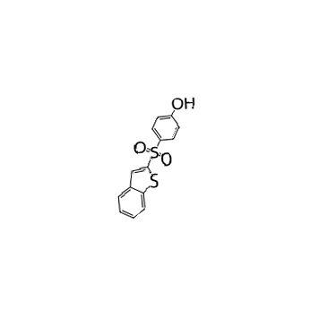 O=S(=O)(c1ccc(O)cc1)c1cc2ccccc2s1